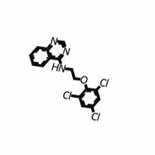 Clc1cc(Cl)c(OCCNc2ncnc3ccccc23)c(Cl)c1